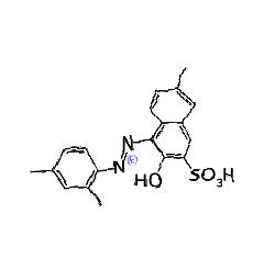 Cc1ccc(/N=N/c2c(O)c(S(=O)(=O)O)cc3cc(C)ccc23)c(C)c1